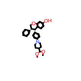 COC(OC)C1CCN(c2ccc([C@H]3c4ccc(O)cc4OC[C@H]3c3ccccc3)cc2)CC1